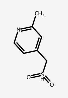 Cc1[c]c(C[SH](=O)=O)ccn1